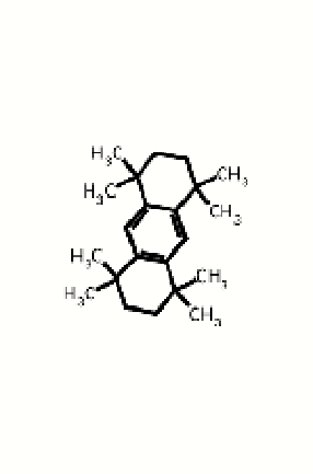 CC1(C)CCC(C)(C)c2cc3c(cc21)C(C)(C)CCC3(C)C